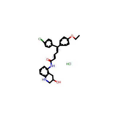 CCOc1ccc(/C(=C/C=C/C(=O)Nc2cccc3c2CC(O)CN3)c2ccc(Cl)cc2)cc1.Cl